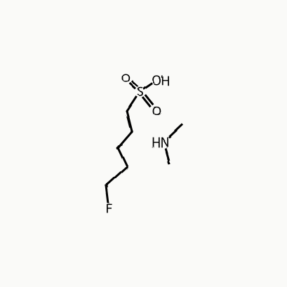 CNC.O=S(=O)(O)CCCCCF